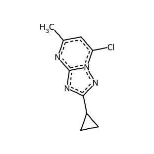 Cc1cc(Cl)n2nc(C3CC3)nc2n1